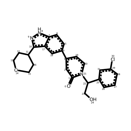 O=c1cc(-c2ccc3[nH]nc(C4CCOCC4)c3c2)ccn1C(CO)c1cccc(Cl)c1